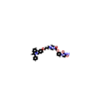 Cc1c(-c2ccccc2)n(Cc2ccc(OCCCCN3CCN(C(=O)COc4cccc(N5CCC(=O)NC5=O)c4)CC3)cc2)c2ccccc12